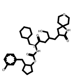 O=C(N[C@@H](CC1CCCCC1)C(=O)CC(CO)CC1CC2(CCOCC2)NC1=O)OC1CCCC1Cc1cccc(Cl)c1